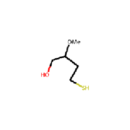 COC(CO)CCS